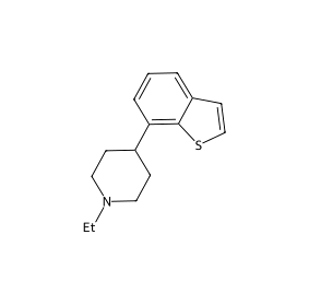 CCN1CCC(c2cccc3ccsc23)CC1